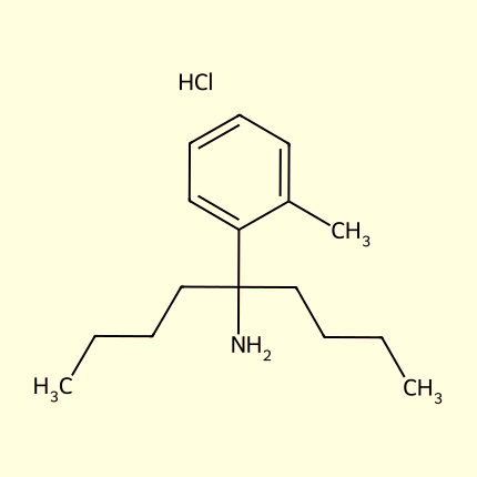 CCCCC(N)(CCCC)c1ccccc1C.Cl